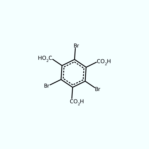 O=C(O)c1c(Br)c(C(=O)O)c(Br)c(C(=O)O)c1Br